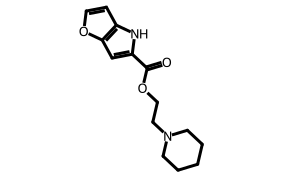 O=C(OCCN1CCCCC1)c1cc2occc2[nH]1